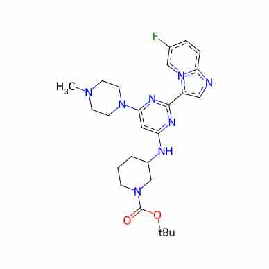 CN1CCN(c2cc(NC3CCCN(C(=O)OC(C)(C)C)C3)nc(-c3cnc4ccc(F)cn34)n2)CC1